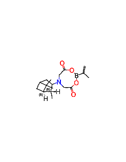 C=C(C)B1OC(=O)CN(C2CC3C[C@H]([C@H]2C)C3(C)C)CC(=O)O1